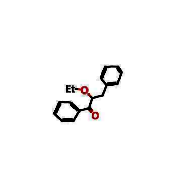 CCOC(Cc1ccccc1)C(=O)c1ccccc1